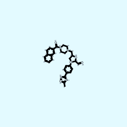 Cc1nc(-c2ccc(N3CC(CN4CCN(C(=O)c5ccc6ccccc6c5)CC4)OC3C=O)cc2)no1